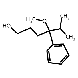 COC(CCCO)(c1ccccc1)C(C)C